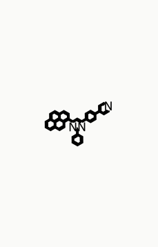 c1ccc(-c2nc(-c3ccc(-c4ccncc4)cc3)cc(-c3ccc4ccc5cccc6ccc3c4c56)n2)cc1